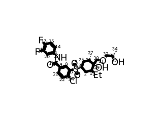 CCC1C[C@@H](S(=O)(=O)c2cc(C(=O)Nc3ccc(F)c(F)c3)ccc2Cl)C[C@H](C)[C@@]1(O)COC[C@H](C)O